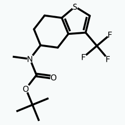 CN(C(=O)OC(C)(C)C)C1CCc2scc(C(F)(F)F)c2C1